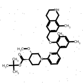 CO[C@@H]1CN(c2cccc(-c3cc(C)cc(C)c3OCc3cc(C)c4c(c3)CCNC4)n2)CC[C@H]1C(=O)OC(C)(C)C